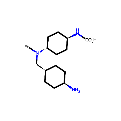 CCN(C[C@H]1CC[C@H](N)CC1)[C@H]1CC[C@H](NC(=O)O)CC1